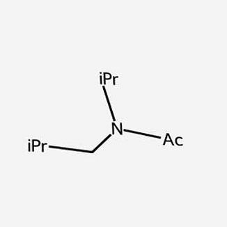 [CH2]C(=O)N(CC(C)C)C(C)C